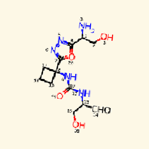 NC(CO)c1nnc(C2(NC(=O)NC(C=O)CO)CCC2)o1